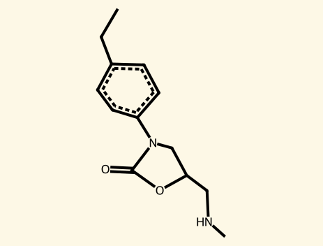 CCc1ccc(N2CC(CNC)OC2=O)cc1